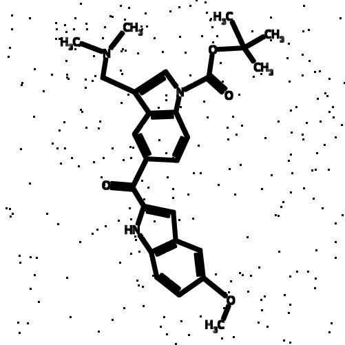 COc1ccc2[nH]c(C(=O)c3ccc4c(c3)c(CN(C)C)cn4C(=O)OC(C)(C)C)cc2c1